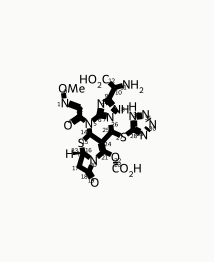 CON=CC(=O)N(c1n[nH]c(C(N)C(=O)O)n1)C1S[C@H]2CC(=O)N2C(OC(=O)O)=C1C(C)Sc1nnn[nH]1